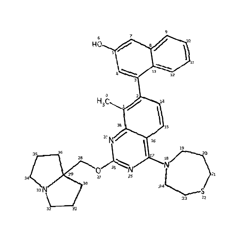 Cc1c(-c2cc(O)cc3ccccc23)ccc2c(N3CCCSCC3)nc(OCC34CCCN3CCC4)nc12